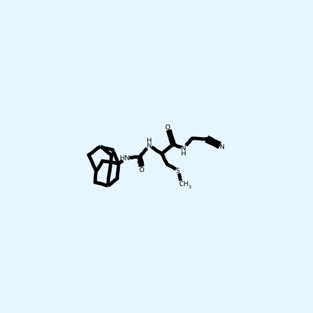 CSCC(NC(=O)NC12CC3CC(CC(C3)C1)C2)C(=O)NCC#N